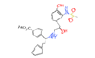 CS(=O)(=O)Nc1cc([C@@H](O)CN[C@H](Cc2ccccc2)c2ccc(C(=O)O)cc2)ccc1O